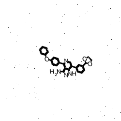 Nc1n[nH]c2c(-c3cccc(C4OCCO4)c3)cnc(-c3ccc(Oc4ccccc4)cc3)c12